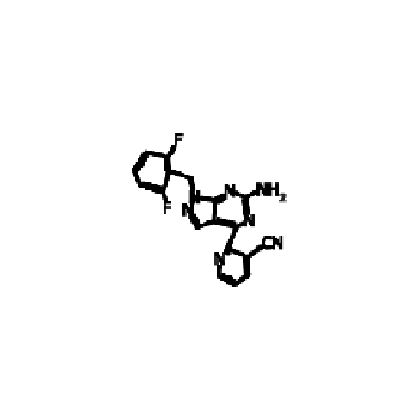 N#Cc1cccnc1-c1nc(N)nc2c1cnn2Cc1c(F)cccc1F